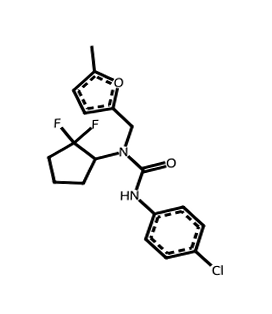 Cc1ccc(CN(C(=O)Nc2ccc(Cl)cc2)C2CCCC2(F)F)o1